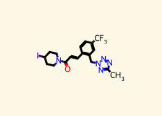 Cc1nnn(Cc2cc(C(F)(F)F)ccc2/C=C/C(=O)N2CCC(I)CC2)n1